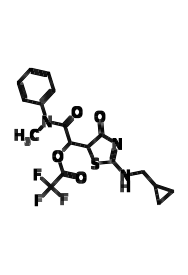 CN(C(=O)C(OC(=O)C(F)(F)F)C1SC(NCC2CC2)=NC1=O)c1ccccc1